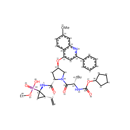 C=C[C@@H]1C[C@]1(NC(=O)[C@@H]1C[C@@H](Oc2cc(-c3ccccc3)nc3cc(OC)ccc23)CN1C(=O)[C@@H](NC(=O)OC1CCCC1)C(C)(C)C)P(=O)(O)OCC